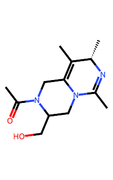 CC(=O)N1CC2=C(C)[C@H](C)N=C(C)N2CC1CO